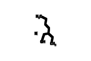 CCCCC(CC)CO.[N]